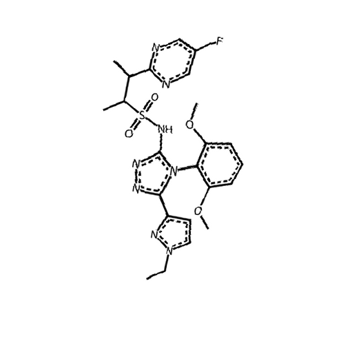 CCn1ccc(-c2nnc(NS(=O)(=O)C(C)C(C)c3ncc(F)cn3)n2-c2c(OC)cccc2OC)n1